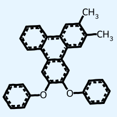 Cc1cc2c3ccccc3c3cc(Oc4ccccc4)c(Oc4ccccc4)cc3c2cc1C